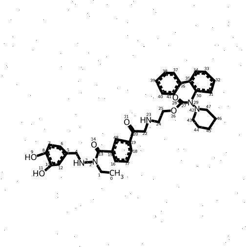 CCN(NCc1ccc(O)c(O)c1)C(=O)c1cccc(C(=O)CNCCOC(=O)N(c2ccccc2-c2ccccc2)N2CC[CH]CC2)c1